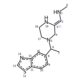 CN/C=C1/CN(C(C)c2ccc3scnc3c2)CCN1